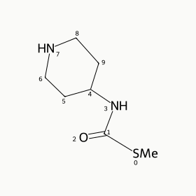 CSC(=O)NC1CCNCC1